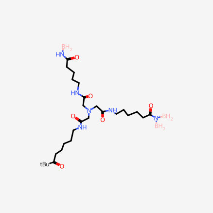 BNC(=O)CCCCNC(=O)CN(CC(=O)NCCCCCC(=O)N(B)B)CC(=O)NCCCCCC(=O)C(C)(C)C